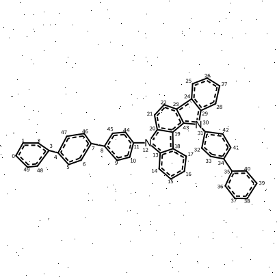 c1ccc(-c2ccc(-c3ccc(-n4c5ccccc5c5c4ccc4c6ccccc6n(-c6ccc(-c7ccccc7)cc6)c45)cc3)cc2)cc1